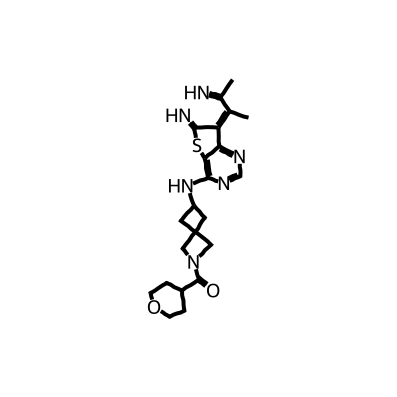 CC(=N)/C(C)=C1\C(=N)Sc2c(NC3CC4(C3)CN(C(=O)C3CCOCC3)C4)ncnc21